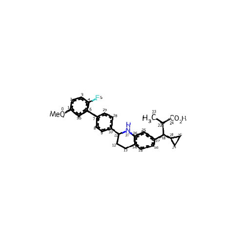 COc1ccc(F)c(-c2ccc(C3CCc4ccc(C(C5CC5)C(C)C(=O)O)cc4N3)cc2)c1